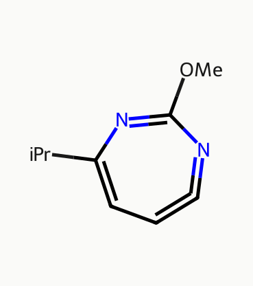 COC1=NC(C(C)C)=CC=C=N1